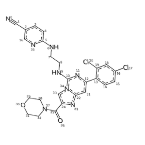 N#Cc1ccc(NCCNc2nc(-c3ccc(Cl)cc3Cl)cc3nc(C(=O)N4CCOCC4)cn23)nc1